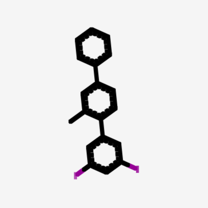 Cc1cc(-c2ccccc2)ccc1-c1cc(I)cc(I)c1